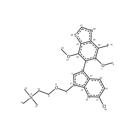 COc1c(-c2cn(COCC[Si](C)(C)C)c3nc(Cl)ccc23)c(OC)c2scnc2c1F